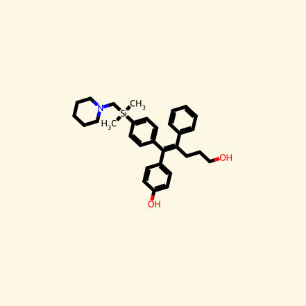 C[Si](C)(CN1CCCCC1)c1ccc(/C(=C(/CCCO)c2ccccc2)c2ccc(O)cc2)cc1